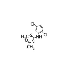 CS/C(=N\C(C)=O)Nc1cc(Cl)ccc1Cl